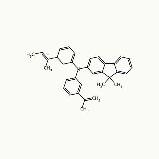 C=C(C)c1cccc(N(C2=CC=CC(/C(C)=C/C)C2)c2ccc3c(c2)C(C)(C)c2ccccc2-3)c1